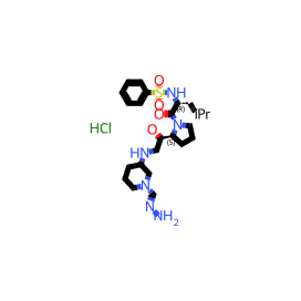 CC(C)C[C@@H](NS(=O)(=O)c1ccccc1)C(=O)N1CCC[C@H]1C(=O)CNC1CCCN(C=NN)C1.Cl